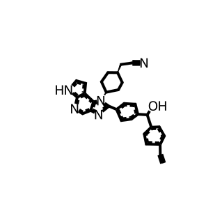 C#Cc1ccc(C(O)c2ccc(-c3nc4cnc5[nH]ccc5c4n3[C@H]3CC[C@H](CC#N)CC3)cc2)cc1